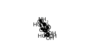 NC(=O)OCc1ccc(OS(=O)(=O)Oc2cc(C(=O)NCCO)ccc2O[C@H]2O[C@@H](CO)[C@@H](O)[C@@H](O)[C@@H]2O)cc1